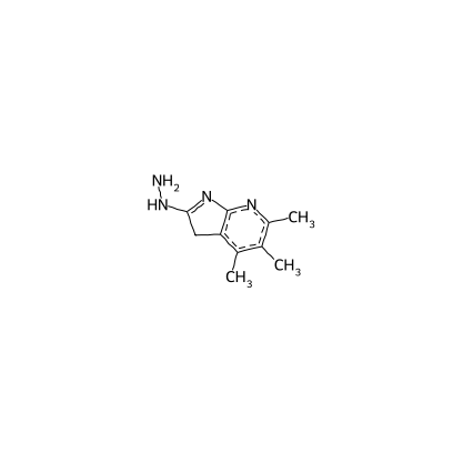 Cc1nc2c(c(C)c1C)CC(NN)=N2